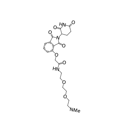 CNCCOCCOCCNC(=O)COc1cccc2c1C(=O)N(C1CCC(=O)NC1=O)C2=O